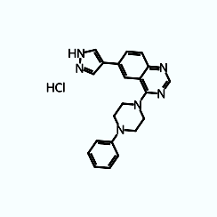 Cl.c1ccc(N2CCN(c3ncnc4ccc(-c5cn[nH]c5)cc34)CC2)cc1